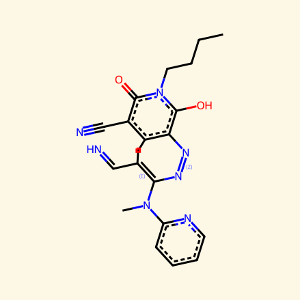 CCCCn1c(O)c(/N=N\C(=C(/C)C=N)N(C)c2ccccn2)c(C)c(C#N)c1=O